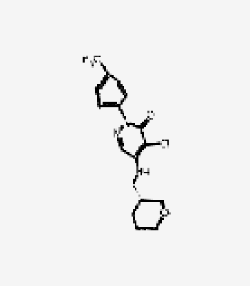 O=c1c(Cl)c(NC[C@H]2CCCOC2)cnn1-c1ccc(C(F)(F)F)cc1